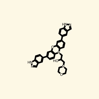 OC(CN1CCOCC1)CN1c2ccc(-c3ccc4[nH]ncc4c3)cc2Oc2cc(-c3ccc4[nH]ncc4c3)ccc21